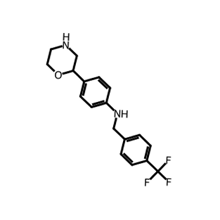 FC(F)(F)c1ccc(CNc2ccc(C3CNCCO3)cc2)cc1